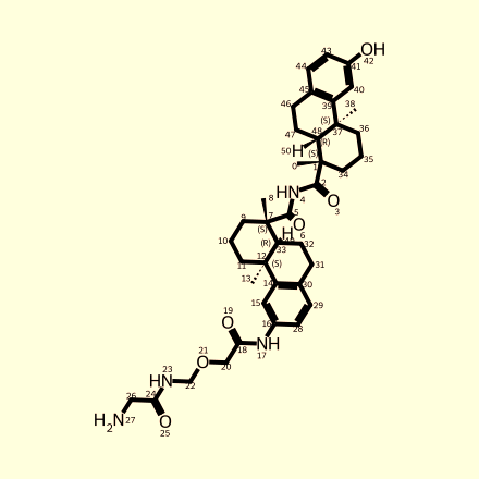 C[C@]1(C(=O)NC(=O)[C@@]2(C)CCC[C@]3(C)c4cc(NC(=O)COCNC(=O)CN)ccc4CC[C@@H]23)CCC[C@]2(C)c3cc(O)ccc3CC[C@@H]12